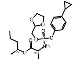 CCC[C@H](C)OC(=O)[C@H](C)NP(=O)(OCC1OCCO1)Oc1ccc(C2CC2)cc1